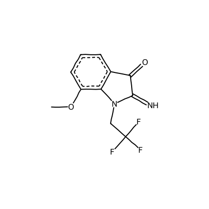 COc1cccc2c1N(CC(F)(F)F)C(=N)C2=O